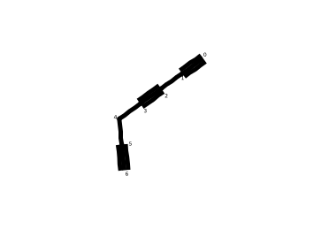 C#CC#CCC#C